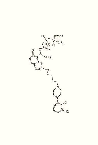 CCCCCC(C)(CC)CC(C)(CC)CC(=O)OC(C(=O)O)n1c(=O)ccc2ccc(OCCCCN3CCN(c4cccc(Cl)c4Cl)CC3)cc21